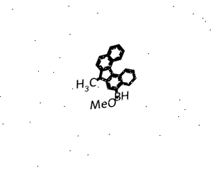 COBc1cc2c(c3c1CCC=C3)-c1c(ccc3ccccc13)C2C